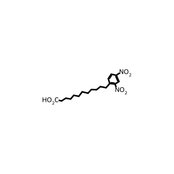 O=C(O)CCCCCCCCCCCc1ccc([N+](=O)[O-])cc1[N+](=O)[O-]